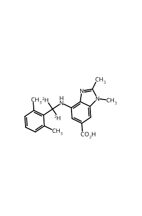 [2H]C([2H])(Nc1cc(C(=O)O)cc2c1nc(C)n2C)c1c(C)cccc1C